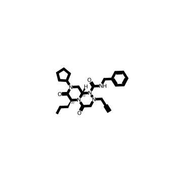 C#CCN1CC(=O)N2[C@@H](CCC)C(=O)N(C3CCCC3)C[C@@H]2N1C(=O)NCc1ccccc1